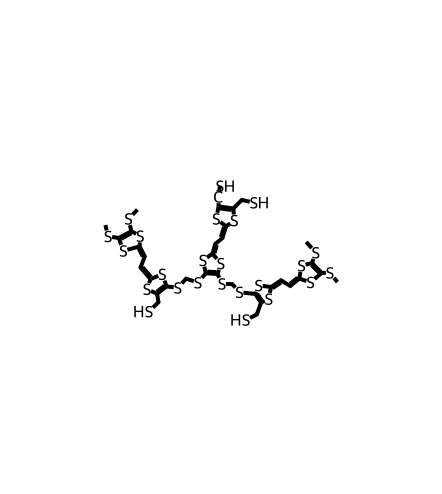 CSC1=C(SC)SC(=CC=C2SC(CS)=C(SCSC3=C(SCSC4=C(CS)SC(=CC=C5SC(SC)=C(SC)S5)S4)SC(=CC=C4SC(CS)=C(CS)S4)S3)S2)S1